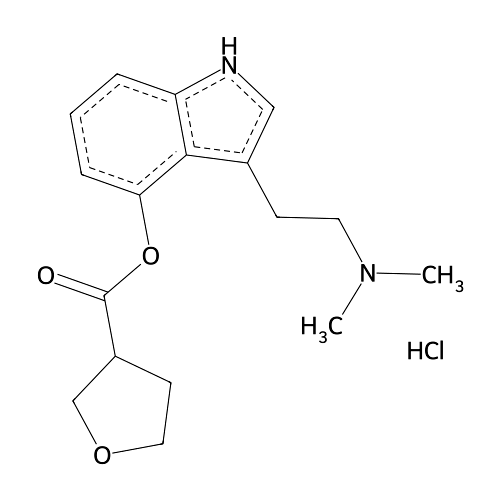 CN(C)CCc1c[nH]c2cccc(OC(=O)C3CCOC3)c12.Cl